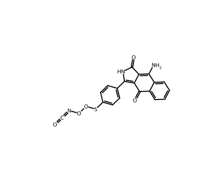 NC1=C2C(=O)NC(c3ccc(SOON=C=O)cc3)=C2C(=O)c2ccccc21